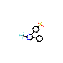 CS(=O)(=O)c1ccc(-c2nc(C(F)(F)F)n[c]c2-c2ccccc2)cc1